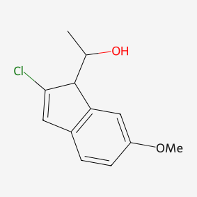 COc1ccc2c(c1)C(C(C)O)C(Cl)=C2